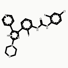 O=C(Nc1ccc(Cl)cc1F)Nc1cccc(-c2nc(N3CCOCC3)[nH]c2-c2ccncc2)c1F